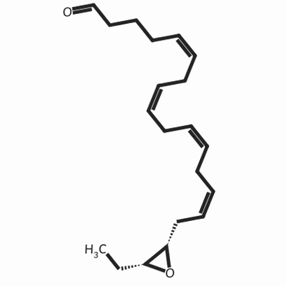 CC[C@H]1O[C@H]1C/C=C\C/C=C\C/C=C\C/C=C\CCCC=O